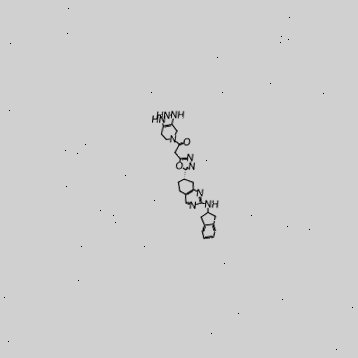 O=C(Cc1nnc([C@H]2CCc3cnc(NC4Cc5ccccc5C4)nc3C2)o1)N1CCC2=C(C1)NNN2